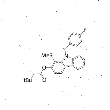 CSc1c(OC(=O)CC(C)(C)C)ccc2c3ccccc3n(Cc3ccc(F)cc3)c12